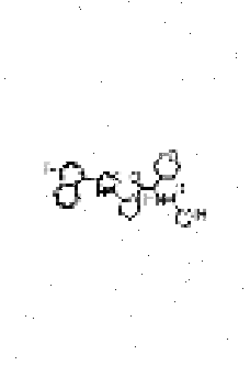 O=C(N[C@H](C(=O)N1CCC[C@H]1c1nc(-c2ccc(F)c3ccccc23)cs1)C1CCOCC1)[C@@H]1CCN1